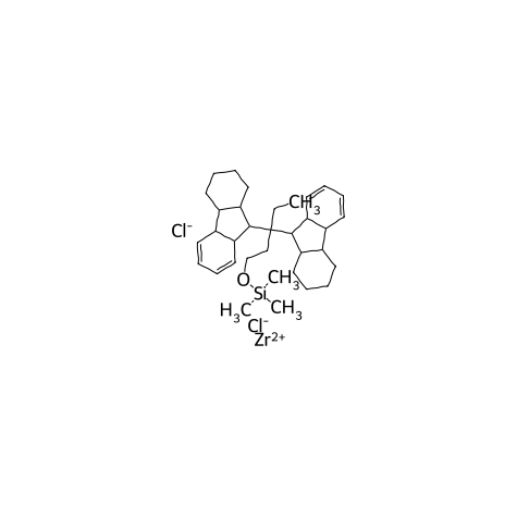 CCC(CCO[Si](C)(C)C)(C1C2C=CC=CC2C2CCCCC21)C1C2C=CC=CC2C2CCCCC21.[Cl-].[Cl-].[Zr+2]